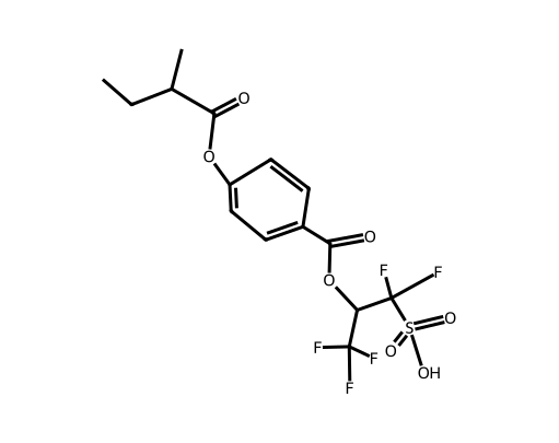 CCC(C)C(=O)Oc1ccc(C(=O)OC(C(F)(F)F)C(F)(F)S(=O)(=O)O)cc1